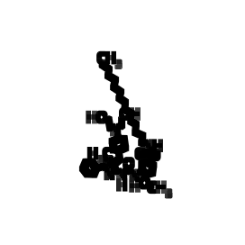 CCCCCCCCCCCCCCCCNS(=O)(=O)c1ccc(OC)c(NC(=O)NC2=NC(c3ccccc3)=NC2=Cc2ccc(N(CCO)CCO)cc2C)c1